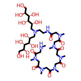 CNCC(=O)N(C)CC(=O)N(C)CC(=O)N(C)CC(=O)N(C)CC(=O)N(C)CC(=O)N(C)CC(=O)NCCN(C[C@@H](O)[C@H](O)[C@@H](O)[C@@H](O)CO)C[C@@H](O)[C@H](O)[C@@H](O)[C@@H](O)CO